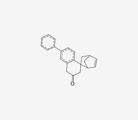 O=C1Cc2cc(-c3ccccc3)ccc2C2(C1)CC1C=CC2C1